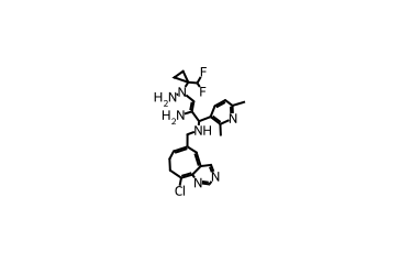 Cc1ccc(C(NCC2=C\CC/C(Cl)=c3/ncnc/c3=C/2)/C(N)=C/N(N)C2(C(F)F)CC2)c(C)n1